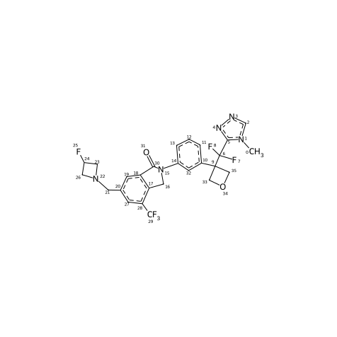 Cn1cnnc1C(F)(F)C1(c2cccc(N3Cc4c(cc(CN5CC(F)C5)cc4C(F)(F)F)C3=O)c2)COC1